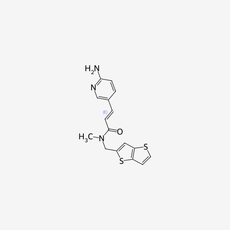 CN(Cc1cc2sccc2s1)C(=O)/C=C/c1ccc(N)nc1